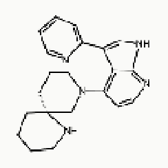 c1ccc(-c2c[nH]c3nccc(N4CCC[C@]5(CCCCN5)C4)c23)nc1